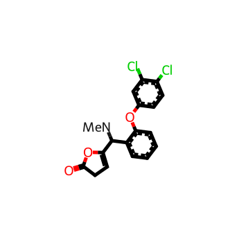 CNC(C1=CCC(=O)O1)c1ccccc1Oc1ccc(Cl)c(Cl)c1